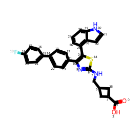 O=C(O)C1CC(CNc2nc(-c3ccc(-c4ccc(F)cc4)cc3)c(-c3cccc4[nH]ccc34)s2)C1